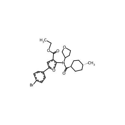 CCOC(=O)c1cc(-c2ccc(Br)cc2)oc1N(C(=O)[C@H]1CC[C@H](C)CC1)C1CCOC1